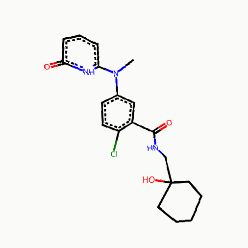 CN(c1ccc(Cl)c(C(=O)NCC2(O)CCCCC2)c1)c1cccc(=O)[nH]1